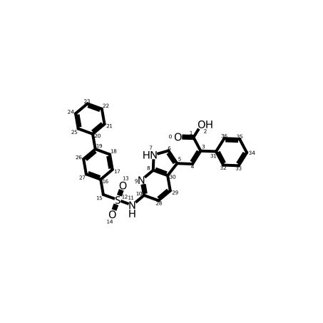 O=C(O)C(=Cc1c[nH]c2nc(NS(=O)(=O)Cc3ccc(-c4ccccc4)cc3)ccc12)c1ccccc1